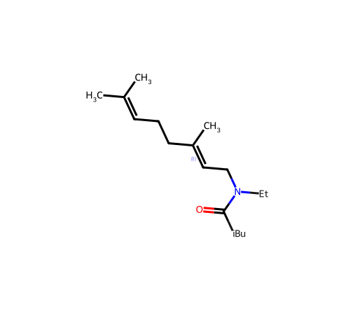 CCC(C)C(=O)N(CC)C/C=C(\C)CCC=C(C)C